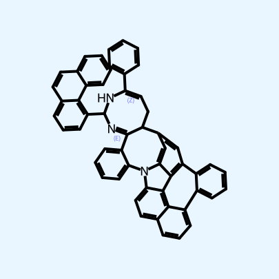 C1=C(/c2ccccc2)NC(c2cccc3ccc4ccccc4c23)/N=C2/c3ccccc3-n3c4cc(cc5c4c4c6c(cccc6ccc43)-c3ccccc3-5)C2C/1